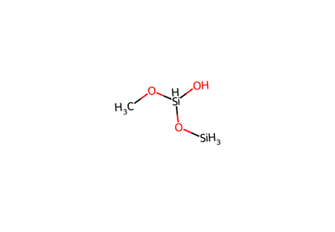 CO[SiH](O)O[SiH3]